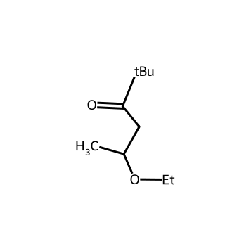 CCOC(C)CC(=O)C(C)(C)C